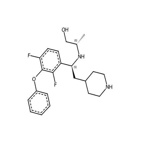 C[C@@H](CO)N[C@@H](CC1CCNCC1)c1ccc(F)c(Oc2ccccc2)c1F